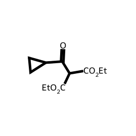 CCOC(=O)C(C(=O)OCC)C(=O)C1CC1